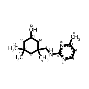 Cc1ccnc(NCC2(C)CC(O)CC(C)(C)C2)n1